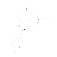 COc1ccc(-c2ccc3c(c2)OCC(C)(C)C3OC(N)=O)cc1